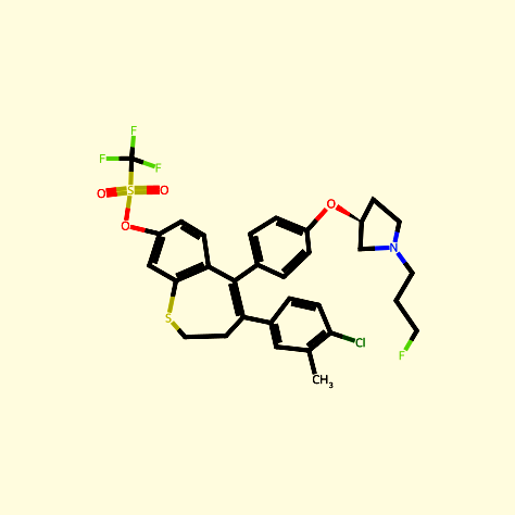 Cc1cc(C2=C(c3ccc(O[C@H]4CCN(CCCF)C4)cc3)c3ccc(OS(=O)(=O)C(F)(F)F)cc3SCC2)ccc1Cl